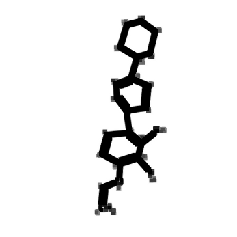 C=COc1ccc(-c2ccc(C3CCCCC3)cc2)c(F)c1F